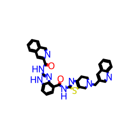 O=C(Nc1nc2c(C(=O)Nc3nc4c(s3)CN(Cc3cnc5ccccc5c3)CC4)cccc2[nH]1)c1cc2ccccc2cn1